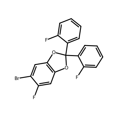 Fc1cc2c(cc1Br)OC(c1ccccc1F)(c1ccccc1F)O2